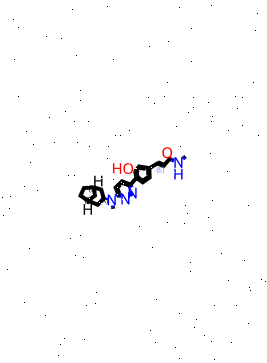 CNC(=O)/C=C/c1ccc(-c2ccc(N(C)[C@H]3C[C@@H]4CC[C@@H](C4)C3)nn2)c(O)c1